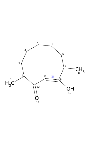 CC1CCCCCC(C)/C(O)=C/C1=O